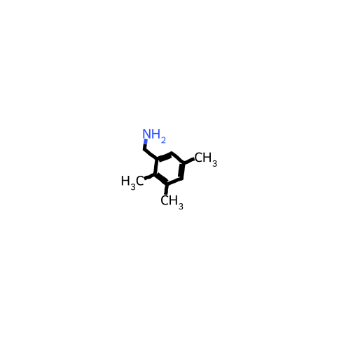 Cc1cc(C)c(C)c(CN)c1